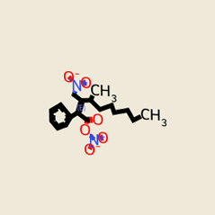 CCCCCCC(C)/C(C[N+](=O)[O-])=C(\C(=O)O[N+](=O)[O-])c1ccccc1